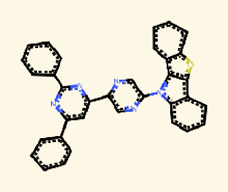 c1ccc(-c2cc(-c3cnc(-n4c5ccccc5c5sc6ccccc6c54)cn3)nc(-c3ccccc3)n2)cc1